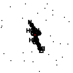 N#Cc1ccc(-c2ccc(C[C@H](NC(=O)[C@@H]3Cc4cc5c(cc4CN3Cc3ccccc3C#N)OC(c3ccc(OCc4ccc(Cl)c(Cl)c4)cc3)C(=O)N5)C(=O)O)cc2)cc1